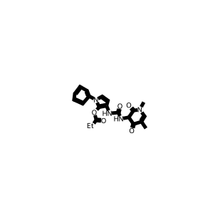 CCC(=O)Oc1c(NC(=O)NC2C(=O)C(C)=CN(C)C2=O)ccn1-c1ccccc1